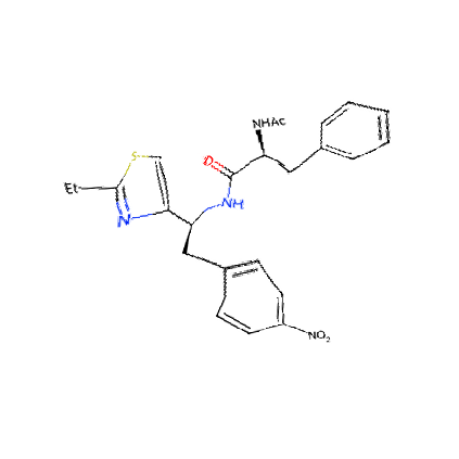 CCc1nc([C@H](Cc2ccc([N+](=O)[O-])cc2)NC(=O)[C@H](Cc2ccccc2)NC(C)=O)cs1